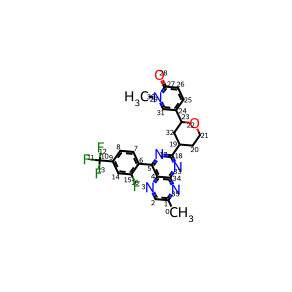 Cc1cnc2c(-c3ccc(C(F)(F)F)cc3F)nc(C3CCOC(c4ccc(=O)n(C)c4)C3)nc2n1